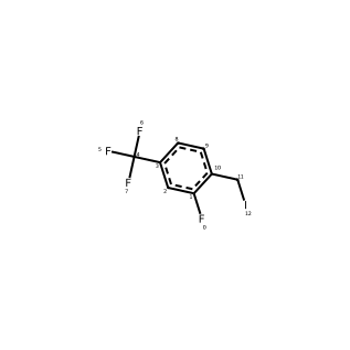 Fc1cc(C(F)(F)F)ccc1CI